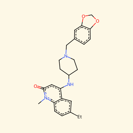 CCc1ccc2c(c1)c(NC1CCN(Cc3ccc4c(c3)OCO4)CC1)cc(=O)n2C